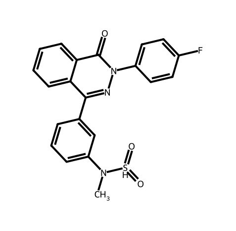 CN(c1cccc(-c2nn(-c3ccc(F)cc3)c(=O)c3ccccc23)c1)[SH](=O)=O